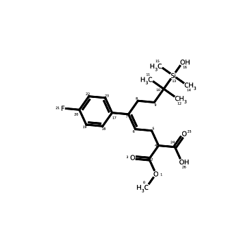 COC(=O)C(C/C=C(\CCC(C)(C)[Si](C)(C)O)c1ccc(F)cc1)C(=O)O